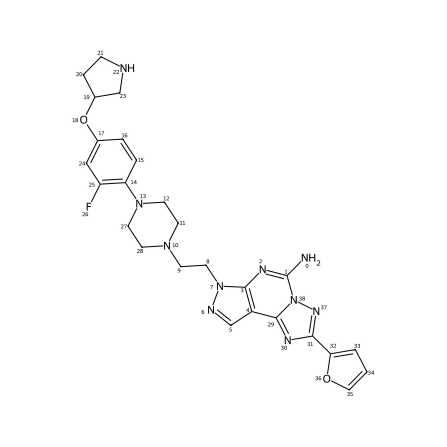 Nc1nc2c(cnn2CCN2CCN(c3ccc(OC4CCNC4)cc3F)CC2)c2nc(-c3ccco3)nn12